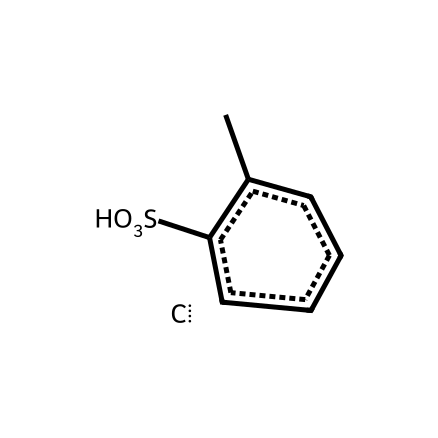 Cc1ccccc1S(=O)(=O)O.[C]